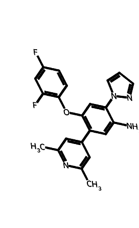 Cc1cc(-c2cc(N)c(-n3cccn3)cc2Oc2ccc(F)cc2F)cc(C)n1